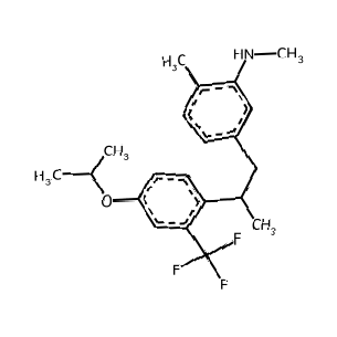 CNc1cc(CC(C)c2ccc(OC(C)C)cc2C(F)(F)F)ccc1C